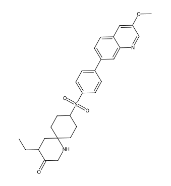 CCC1CC2(CCC(S(=O)(=O)c3ccc(-c4ccc5cc(OC)cnc5c4)cc3)CC2)NCC1=O